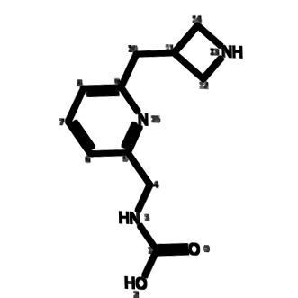 O=C(O)NCc1cccc(CC2CNC2)n1